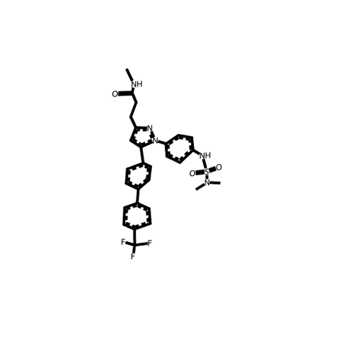 CNC(=O)CCc1cc(-c2ccc(-c3ccc(C(F)(F)F)cc3)cc2)n(-c2ccc(NS(=O)(=O)N(C)C)cc2)n1